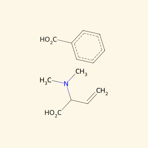 C=CC(C(=O)O)N(C)C.O=C(O)c1ccccc1